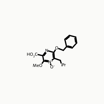 COc1c(C(=O)O)nc(OCc2ccccc2)c(CC(C)C)[n+]1[O-]